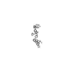 Cc1nnc(-c2ccc3c(c2)nc(CN2CCC(c4cccc5c4OC(C)(c4ccc(Cl)cn4)O5)CC2)n3CC2CCO2)[nH]1